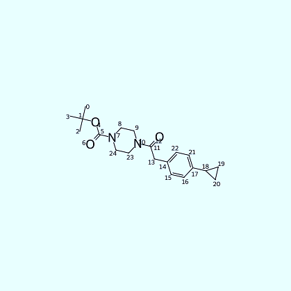 CC(C)(C)OC(=O)N1CCN(C(=O)Cc2ccc(C3CC3)cc2)CC1